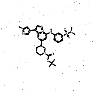 CN(C)S(=O)(=O)c1cccc(Nc2cc(C3CCCN(C(=O)OC(C)(C)C)C3)nc3c(-c4cnn(C)c4)cnn23)c1